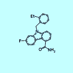 CCc1ccccc1Cn1c2cc(F)c[c]c2c2c(C(N)=O)cccc21